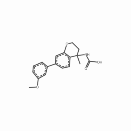 COc1cccc(-c2ccc3c(c2)OCCC3(C)NC(=O)O)c1